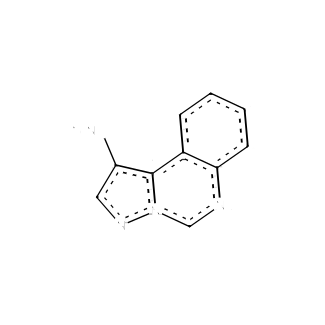 CC(=O)Nc1cnn2cnc3ccccc3c12